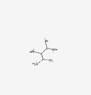 CCCC(C(C)N)C(NC)C(C)C